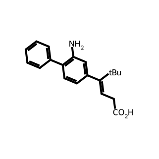 CC(C)(C)/C(=C\CC(=O)O)c1ccc(-c2ccccc2)c(N)c1